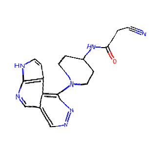 N#CCC(=O)NC1CCN(c2nncc3cnc4[nH]ccc4c23)CC1